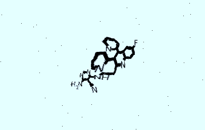 N#Cc1c(N)ncnc1NCCc1nc2ccc(F)cc2c(-c2ccccn2)c1-c1ccccn1